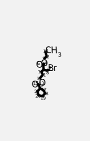 CCCCOC(=O)C(CBr)CCCOC(=O)C1CCCCC1